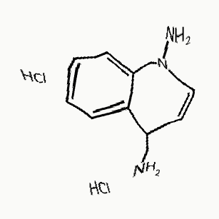 Cl.Cl.NC1C=CN(N)c2ccccc21